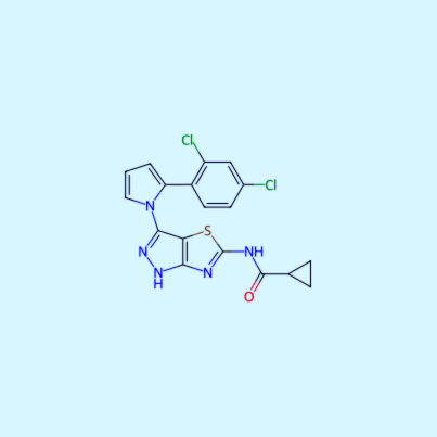 O=C(Nc1nc2[nH]nc(-n3cccc3-c3ccc(Cl)cc3Cl)c2s1)C1CC1